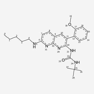 CCCCCNc1ccc2cc(-c3ccccc3OC)c(NC(=O)NC(C)(C)C)nc2n1